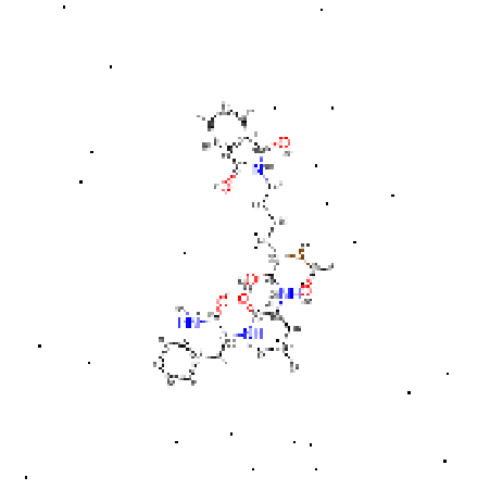 CNC(=O)[C@H](Cc1ccccc1)NC(=O)[C@H](CC(C)C)NC(=O)C(CCCCN1C(=O)c2ccccc2C1=O)SC(C)=O